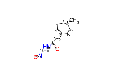 CC1=CCC=C(/C=C/C(=O)NCCN=O)C=C1